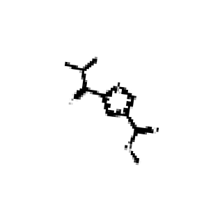 COC(=O)c1[c]sc(C(=O)C(C)C)c1